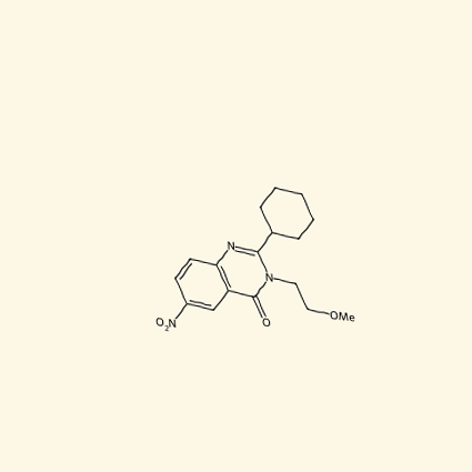 COCCn1c(C2CCCCC2)nc2ccc([N+](=O)[O-])cc2c1=O